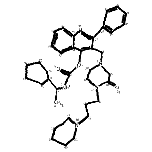 C[C@H](NC(=O)Oc1c(CN2CCN(CCCN3CCCCC3)C(=O)C2)c(-c2ccccc2)nc2ccccc12)C1CCCCC1